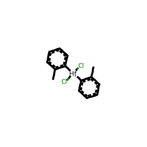 Cc1cccc[c]1[Hf]([Cl])([Cl])[c]1ccccc1C